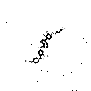 C#CCCCOc1ccc(-c2cnc3c(Nc4ccc(C(=O)N5CCC(CN)CC5)c(C)c4)nccn23)c(F)c1F